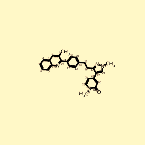 Cc1cc2ccccc2nc1-c1ccc(CCc2nn(C)cc2-c2ccn(C)c(=O)c2)cc1